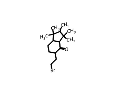 CC1C(C)(C)C2CCC(CCBr)C(=O)C2C1(C)C